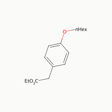 CCCCCCOc1ccc(CC(=O)OCC)cc1